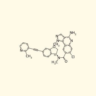 Cc1ncccc1C#Cc1ccc2c(c1)OC[C@H]2N(C)C(=O)c1cc2c(cc1Cl)nc(N)c1cnn(C)c12